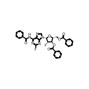 O=C(Nc1nc(F)nc2c1ncn2[C@@H]1O[C@H](COC(=O)c2ccccc2)[C@@H](OC(=O)c2ccccc2)[C@@H]1F)c1ccccc1